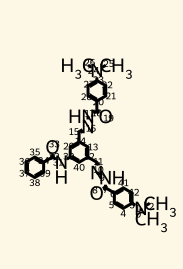 CN(C)c1ccc(C(=O)NN=Cc2cc(C=NNC(=O)c3ccc(N(C)C)cc3)cc(NC(=O)c3ccccc3)c2)cc1